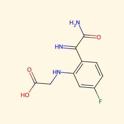 N=C(C(N)=O)c1ccc(F)cc1NCC(=O)O